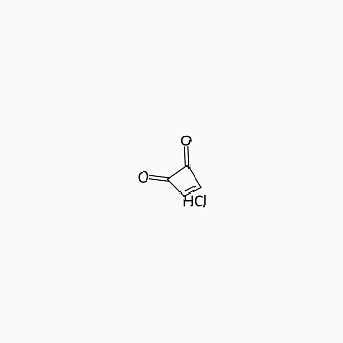 Cl.O=c1ccc1=O